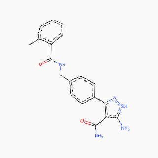 Cc1ccccc1C(=O)NCc1ccc(-c2n[nH]c(N)c2C(N)=O)cc1